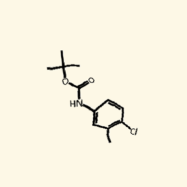 Cc1cc(NC(=O)OC(C)(C)C)ccc1Cl